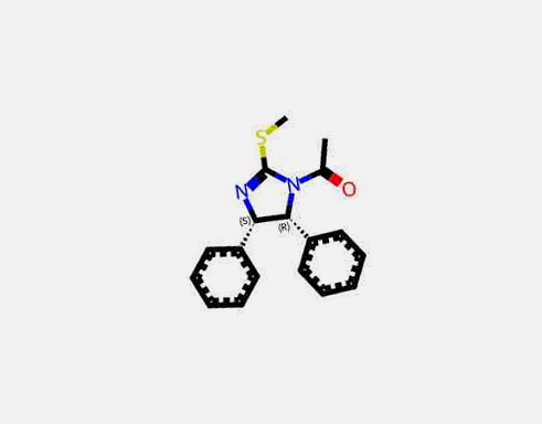 CSC1=N[C@@H](c2ccccc2)[C@@H](c2ccccc2)N1C(C)=O